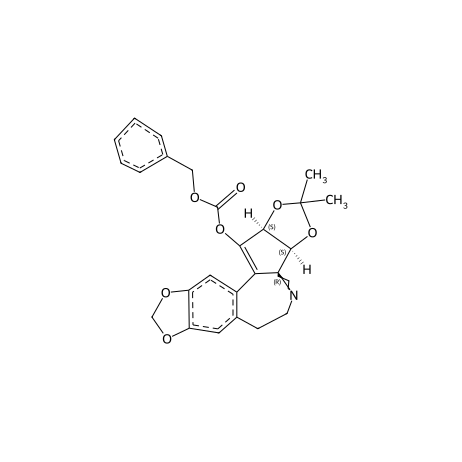 CC1(C)O[C@@H]2C(OC(=O)OCc3ccccc3)=C3c4cc5c(cc4CCN4CCC[C@]34[C@@H]2O1)OCO5